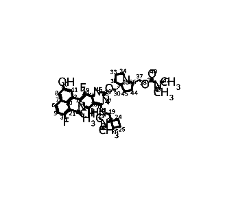 C#Cc1c(F)ccc2cc(O)cc(-c3ncc4c(NCC5(N(C)C)CCC5)nc(OC[C@]56CCCN5[C@@H](COC(=O)N(C)C)CC6)nc4c3F)c12